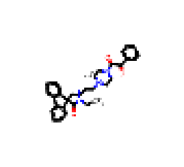 C[C@@H]1CN(C(=O)C(=O)c2ccccc2)CCN1CCCCC1(C(=O)NCC(F)(F)F)c2ccccc2-c2ccccc21